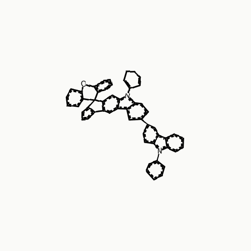 C1=CC(n2c3ccc(-c4ccc5c(c4)c4ccccc4n5-c4ccccc4)cc3c3cc4c(cc32)C2(c3ccccc3Oc3ccccc32)c2ccccc2-4)=CCC1